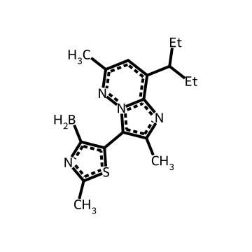 Bc1nc(C)sc1-c1c(C)nc2c(C(CC)CC)cc(C)nn12